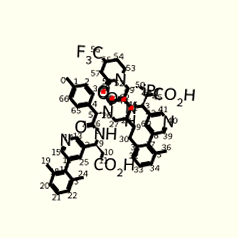 Cc1ccc([C@@H](C(=O)N[C@@H](CC(=O)O)c2cncc(-c3c(C)cccc3C)c2)N2CC(CCc3cccc(C)c3-c3cncc([C@H](CC(=O)O)NC(=O)[C@@H](CC(C)C)N4CCC(C(F)(F)F)CC4=O)c3)CCC2=O)cc1